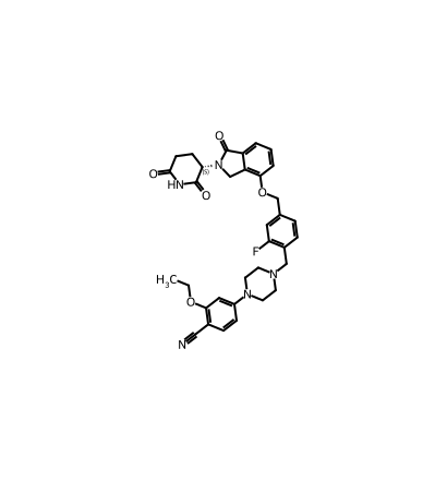 CCOc1cc(N2CCN(Cc3ccc(COc4cccc5c4CN([C@H]4CCC(=O)NC4=O)C5=O)cc3F)CC2)ccc1C#N